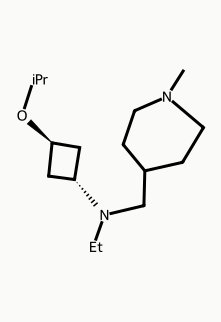 CCN(CC1CCN(C)CC1)[C@H]1C[C@H](OC(C)C)C1